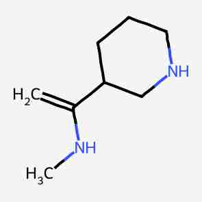 C=C(NC)C1CCCNC1